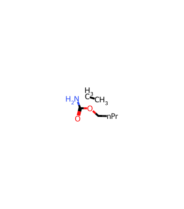 CC.CCCCOC(N)=O